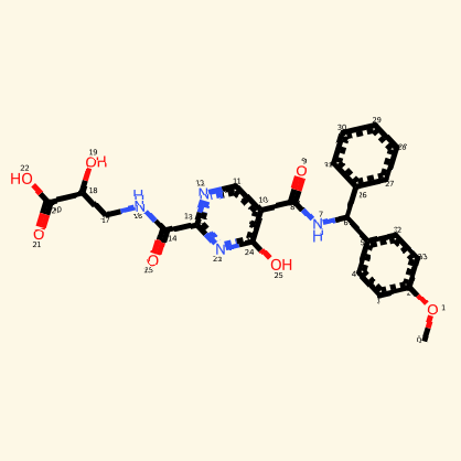 COc1ccc(C(NC(=O)c2cnc(C(=O)NCC(O)C(=O)O)nc2O)c2ccccc2)cc1